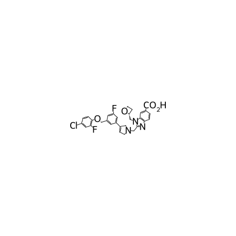 O=C(O)c1ccc2nc(CN3CC=C(c4cc(F)cc(COc5ccc(Cl)cc5F)c4)C3)n(C[C@@H]3CCO3)c2c1